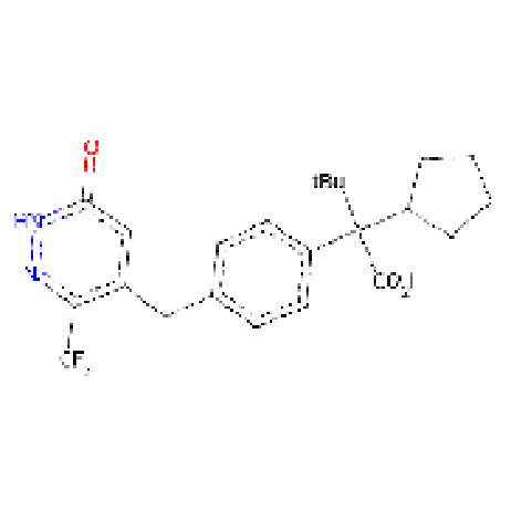 CC(C)(C)C(C(=O)O)(c1ccc(Cc2cc(=O)[nH]nc2C(F)(F)F)cc1)C1CCCC1